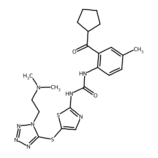 Cc1ccc(NC(=O)Nc2ncc(Sc3nnnn3CCN(C)C)s2)c(C(=O)C2CCCC2)c1